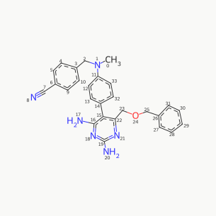 CN(Cc1ccc(C#N)cc1)c1ccc(-c2c(N)nc(N)nc2COCc2ccccc2)cc1